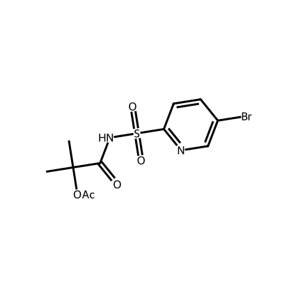 CC(=O)OC(C)(C)C(=O)NS(=O)(=O)c1ccc(Br)cn1